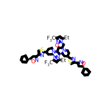 CCc1cc(C(F)(F)F)nn1CC(C(=O)C(Cn1nc(C(F)(F)F)cc1CC)N1CCC(c2nc(C3=NO[C@@H](c4ccccc4)C3)cs2)CC1)N1CCC(c2nc(C3=NO[C@@H](c4ccccc4)C3)cs2)CC1